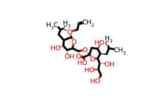 C=CCO[C@H]1OC(CO[C@]2(C(=O)O)C[C@@H](O)[C@@H](CC(C)C)C([C@H](O)[C@H](O)CO)O2)[C@H](O)[C@H](O)C1CC(C)C